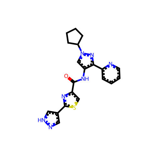 O=C(Nc1cn(C2CCCC2)nc1-c1ccccn1)c1csc(-c2cn[nH]c2)n1